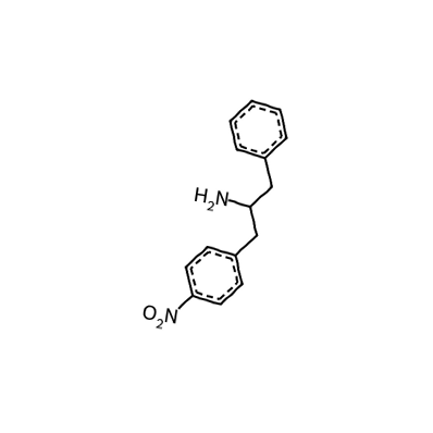 NC(Cc1ccccc1)Cc1ccc([N+](=O)[O-])cc1